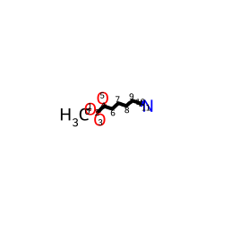 COC(=O)C(=O)CCCCC#N